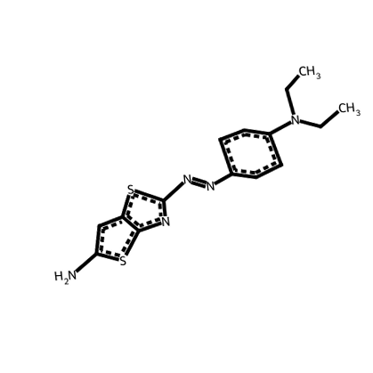 CCN(CC)c1ccc(N=Nc2nc3sc(N)cc3s2)cc1